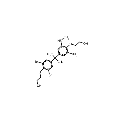 Bc1cc(C(C)(C)c2cc(Br)c(OCCO)c(Br)c2)cc(BC)c1OCCO